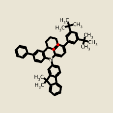 CC(C)(C)c1cc(-c2ccc(N(c3ccc4c(c3)C(C)(C)c3ccccc3-4)c3ccc(-c4ccccc4)cc3C3CCCCC3)cc2)cc(C(C)(C)C)c1